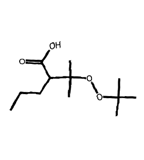 CCCC(C(=O)O)C(C)(C)OOC(C)(C)C